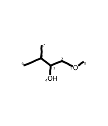 COCC(O)C(C)C